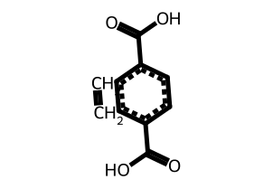 C=C.O=C(O)c1ccc(C(=O)O)cc1